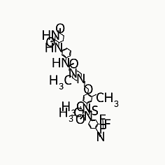 CCc1cc(N2C(=S)N(c3ccc(C#N)c(C(F)(F)F)c3)C(=O)C2(C)C)ccc1OCCN1CCN(CC(=O)Nc2cccc(NC3CCC(=O)NC3=O)c2)[C@@H](C)C1